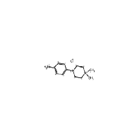 C[N+]1(C)CCN(c2ccc(N)cc2)CC1.[Cl-]